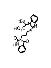 CC(C)(C)C(C(=O)O)n1c(SCCCn2c(=O)[nH]c3ccccc3c2=O)nc2ccccc21